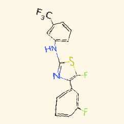 Fc1cccc(-c2nc(Nc3cccc(C(F)(F)F)c3)sc2F)c1